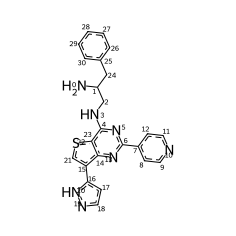 NC(CNc1nc(-c2ccncc2)nc2c(-c3ccn[nH]3)csc12)Cc1ccccc1